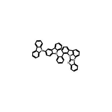 c1ccc(-n2c3ccccc3c3cc(-n4c5ccccc5c5ccccc54)ccc32)c(-c2cccc3c4cccc5c4n(c23)c2nc3ccccc3n52)c1